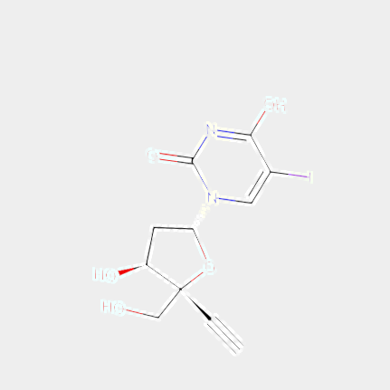 C#C[C@]1(CO)O[C@@H](n2cc(I)c(O)nc2=O)C[C@@H]1O